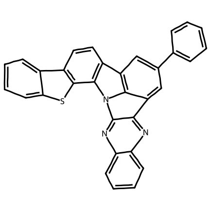 c1ccc(-c2cc3c4ccc5c6ccccc6sc5c4n4c5nc6ccccc6nc5c(c2)c34)cc1